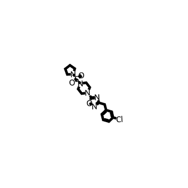 O=S(=O)(N1CCCC1)N1CCN(c2nc(Cc3cccc(Cl)c3)no2)CC1